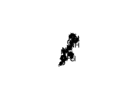 CCOc1ccc(-c2nnc(C3CC(NC(=O)c4ccnc5cccnc45)C3)n2-c2ccc(Cl)s2)nc1